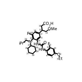 CCOc1ccc(NC(=O)Nc2cc(C(COC)CC(=O)O)cc(F)c2N(CC(C)C)C2CCCCC2)c(F)c1